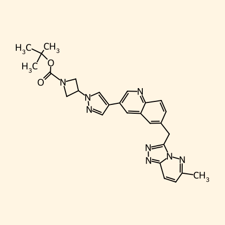 Cc1ccc2nnc(Cc3ccc4ncc(-c5cnn(C6CN(C(=O)OC(C)(C)C)C6)c5)cc4c3)n2n1